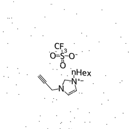 C#CCN1C=C[N+](C)(CCCCCC)C1.O=S(=O)([O-])C(F)(F)F